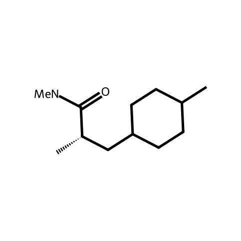 CNC(=O)[C@@H](C)CC1CCC(C)CC1